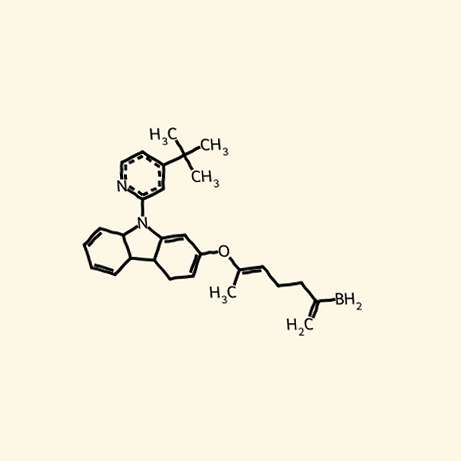 BC(=C)CC/C=C(\C)OC1=CCC2C(=C1)N(c1cc(C(C)(C)C)ccn1)C1C=CC=CC21